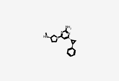 CN[C@@H]1CCN(c2cc([C@@H]3C[C@H]3c3ccccc3)nc(N)n2)C1